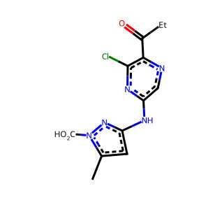 CCC(=O)c1ncc(Nc2cc(C)n(C(=O)O)n2)nc1Cl